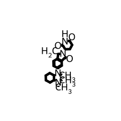 C=C1c2ccc(N(C)[C@@H]3CCCCC3N(C)C)cc2C(=O)N1C1CCC(=O)NC1=O